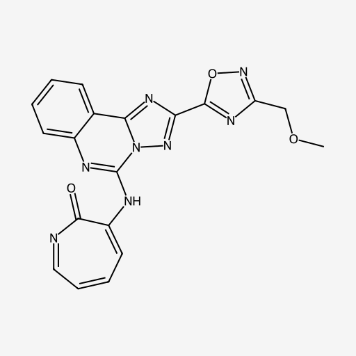 COCc1noc(-c2nc3c4ccccc4nc(Nc4ccccnc4=O)n3n2)n1